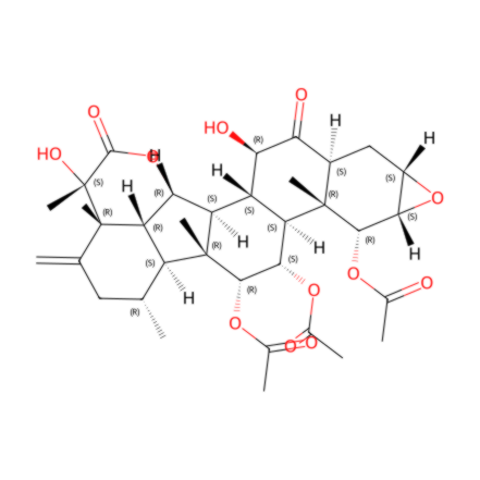 C=C1C[C@@H](C)[C@H]2[C@H]3[C@H](OC(=O)[C@@](C)(O)[C@@]13C)[C@H]1[C@H]3[C@H]([C@H](OC(C)=O)[C@H](OC(C)=O)[C@]21C)[C@]1(C)[C@H](C[C@@H]2O[C@@H]2[C@@H]1OC(C)=O)C(=O)[C@@H]3O